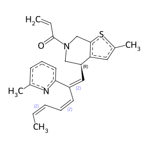 C=CC(=O)N1Cc2sc(C)cc2[C@@H](/C=C(/C=C\C=C/C)c2cccc(C)n2)C1